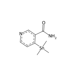 [CH3][Sn]([CH3])([CH3])[c]1ccncc1C(N)=O